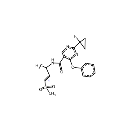 CC(/C=C/S(C)(=O)=O)NC(=O)c1cnc(C2(F)CC2)nc1Oc1ccccc1